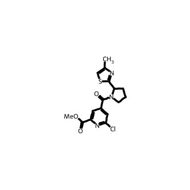 COC(=O)c1cc(C(=O)N2CCCC2c2nc(C)cs2)cc(Cl)n1